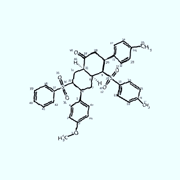 COc1ccc([C@@H]2C[C@@H]3C(S(=O)(=O)c4ccc(C)cc4)[C@H](c4ccc(C)cc4)CC(=O)[C@@H]3CC2S(=O)(=O)c2ccccc2)cc1